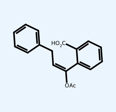 CC(=O)OC(=CCc1ccccc1)c1ccccc1C(=O)O